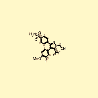 COc1ccc(-c2c(-c3ccc(S(N)(=O)=O)cc3)nn(CC#N)c2C(F)F)cc1F